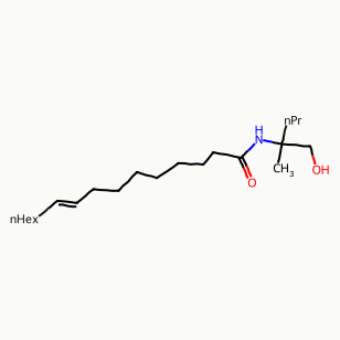 CCCCCCC=CCCCCCCCC(=O)NC(C)(CO)CCC